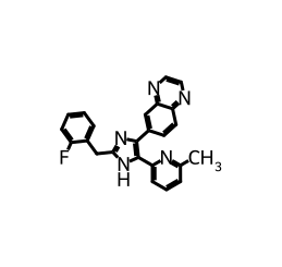 Cc1cccc(-c2[nH]c(Cc3ccccc3F)nc2-c2ccc3nccnc3c2)n1